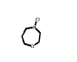 ClN1CCCOCC1